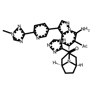 CC(=O)c1c([C@@H]2C[C@H]3CC[C@@H](C2)N3C(=O)c2nnc[nH]2)nc2c(-c3ccc(-c4ncn(C)n4)nc3)cnn2c1N